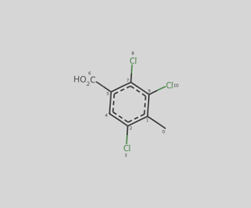 Cc1c(Cl)cc(C(=O)O)c(Cl)c1Cl